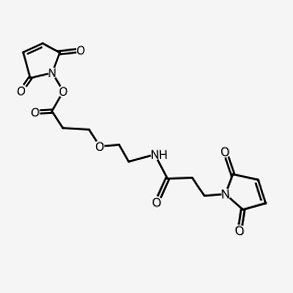 O=C(CCN1C(=O)C=CC1=O)NCCOCCC(=O)ON1C(=O)C=CC1=O